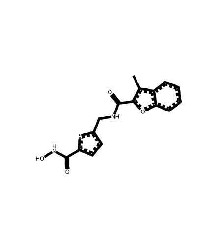 Cc1c(C(=O)NCc2ccc(C(=O)NO)s2)oc2ccccc12